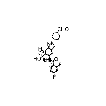 CC(C)(O)c1cc2nn([C@H]3CC[C@H](C=O)CC3)cc2cc1NC(=O)c1ncc(F)cc1F